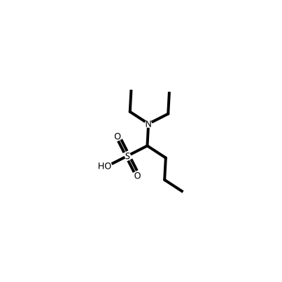 CCCC(N(CC)CC)S(=O)(=O)O